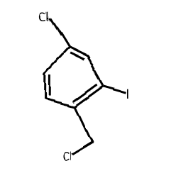 ClCc1ccc(Cl)cc1I